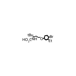 CCc1cc(OCCCC(NC(=O)O)C(C)(C)C)ccc1Br